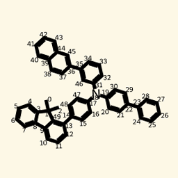 CC1(C)c2ccccc2-c2cccc(-c3ccc(N(c4ccc(-c5ccccc5)cc4)c4cccc(-c5ccc6ccccc6c5)c4)cc3)c21